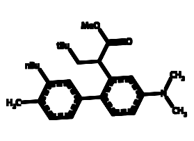 CCCCc1cc(-c2ccc(N(C)C)cc2C(CC(C)(C)C)C(=O)OC)ccc1C